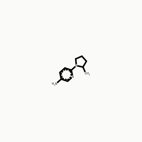 CC1CCCN1c1ccc(N)cn1